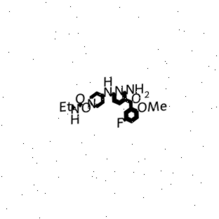 CCNC(=O)ON1CCC(Nc2ccc(C(=O)c3cc(F)ccc3OC)c(N)n2)CC1